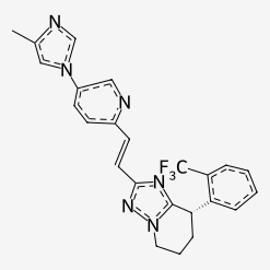 Cc1cn(-c2ccc(/C=C/c3nc4n(n3)CCC[C@H]4c3ccccc3C(F)(F)F)nc2)cn1